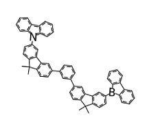 CC1(C)c2ccc(B3c4ccccc4-c4ccccc43)cc2-c2cc(-c3cccc(-c4ccc5c(c4)-c4cc(-n6c7ccccc7c7ccccc76)ccc4C5(C)C)c3)ccc21